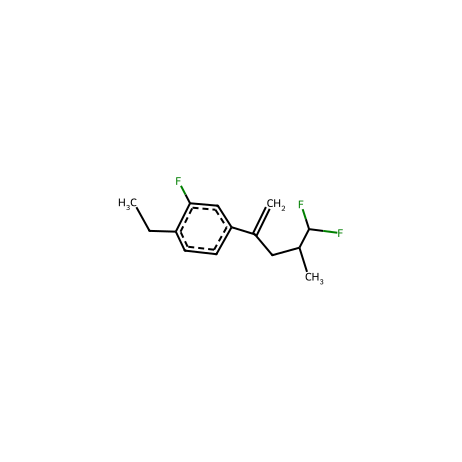 C=C(CC(C)C(F)F)c1ccc(CC)c(F)c1